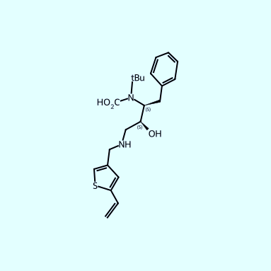 C=Cc1cc(CNC[C@H](O)[C@H](Cc2ccccc2)N(C(=O)O)C(C)(C)C)cs1